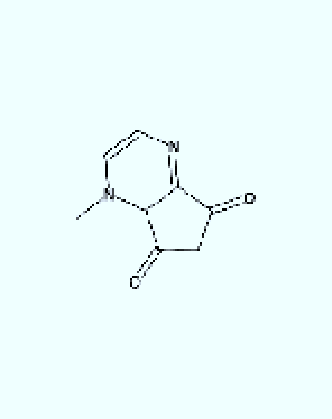 CN1C=CN=C2C(=O)CC(=O)C21